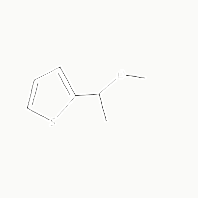 COC(C)c1cccs1